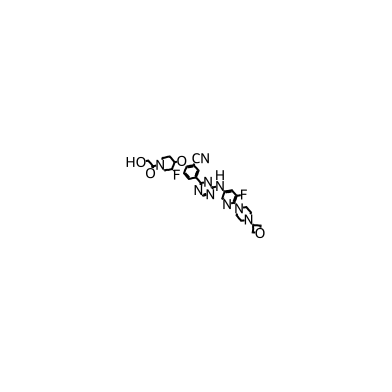 N#Cc1cc(-c2ncnc(Nc3cnc(N4CCN(C5COC5)CC4)c(F)c3)n2)ccc1OC1CCN(C(=O)CO)C[C@H]1F